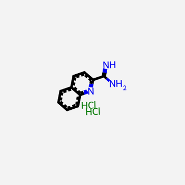 Cl.Cl.N=C(N)c1ccc2ccccc2n1